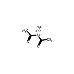 C[C](=O)[AlH][C](C)=O.O.O